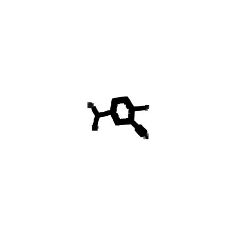 N#Cc1cc(C(Br)Br)ccc1F